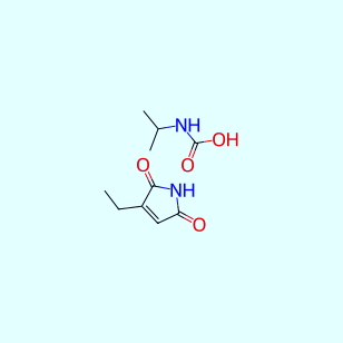 CC(C)NC(=O)O.CCC1=CC(=O)NC1=O